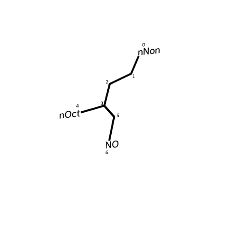 CCCCCCCCCCCC(CCCCCCCC)CN=O